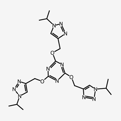 CC(C)n1cc(COc2nc(OCc3cn(C(C)C)nn3)nc(OCc3cn(C(C)C)nn3)n2)nn1